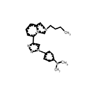 CCCCn1cc2cccc(-c3cn(-c4ccc(N(C)C)cc4)nn3)[n+]2c1